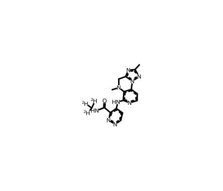 [2H]C([2H])([2H])NC(=O)c1nnccc1Nc1nccc2c1N(C)Cc1nc(C)nn1-2